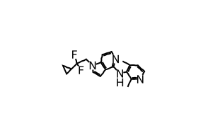 Cc1ccnc(C)c1Nc1nccc2c1ccn2CC(F)(F)C1CC1